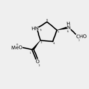 COC(=O)[C@@H]1C[C@H](NC=O)CN1